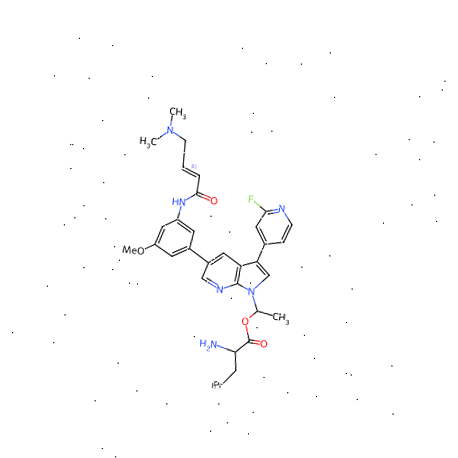 COc1cc(NC(=O)/C=C/CN(C)C)cc(-c2cnc3c(c2)c(-c2ccnc(F)c2)cn3C(C)OC(=O)C(N)CC(C)C)c1